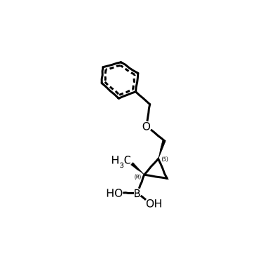 C[C@]1(B(O)O)C[C@@H]1COCc1ccccc1